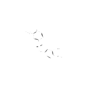 O=S(=O)(Nc1ccc(C(F)(F)F)c(O)c1)c1ccc(F)c(C(F)(F)F)c1